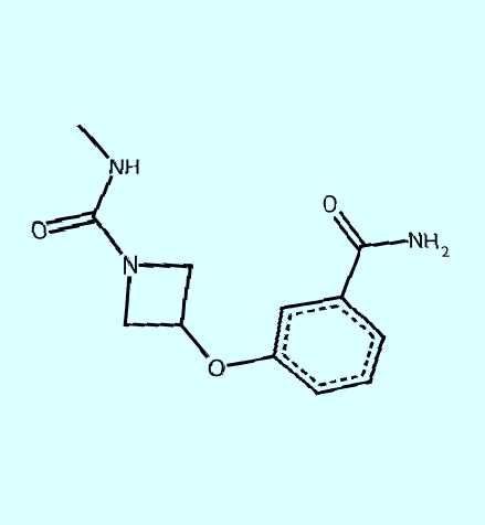 CNC(=O)N1CC(Oc2cccc(C(N)=O)c2)C1